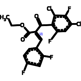 CCOC(=O)/C(=C\c1ccc(F)cc1F)C(=O)c1c(F)cc(Cl)c(F)c1Cl